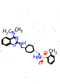 Cc1ccccc1S(=O)(=O)NC[C@H]1CC[C@H](CNc2nc(N(C)C)c3ccccc3n2)CC1